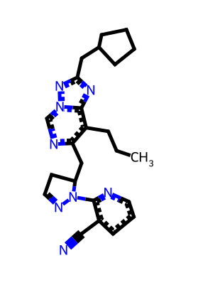 CCCc1c(CC2CC=NN2c2ncccc2C#N)ncn2nc(CC3CCCC3)nc12